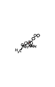 CC#CC(=O)N[C@H]1CCCN(c2nc(-c3ccc(Oc4ccccc4)cc3)cc3[nH]cnc23)C1